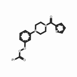 CC(C)C(=O)OOc1cccc(N2CCN(C(=O)c3cccs3)CC2)c1